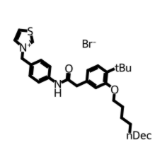 CCCCCCCCCCCCCCOc1cc(CC(=O)Nc2ccc(C[n+]3ccsc3)cc2)ccc1C(C)(C)C.[Br-]